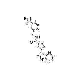 O=C(NCc1cccc(C(F)(F)F)c1)c1csc(-c2cnc3cccnn23)c1